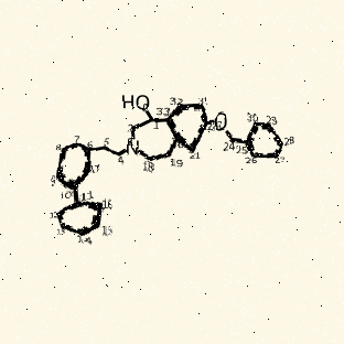 OC1CN(CCc2cccc(-c3ccccc3)c2)CCc2cc(OCc3ccccc3)ccc21